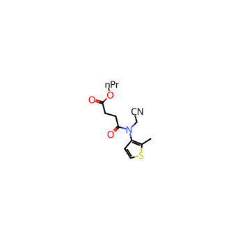 CCCOC(=O)CCC(=O)N(CC#N)c1ccsc1C